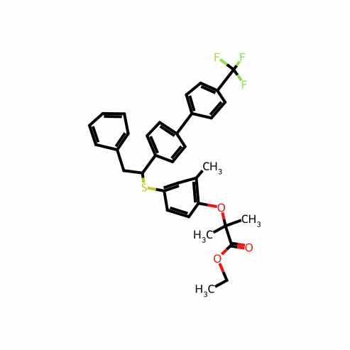 CCOC(=O)C(C)(C)Oc1ccc(SC(Cc2ccccc2)c2ccc(-c3ccc(C(F)(F)F)cc3)cc2)cc1C